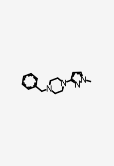 Cn1ccc(N2CCN(Cc3ccccc3)CC2)n1